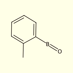 Cc1ccccc1B=O